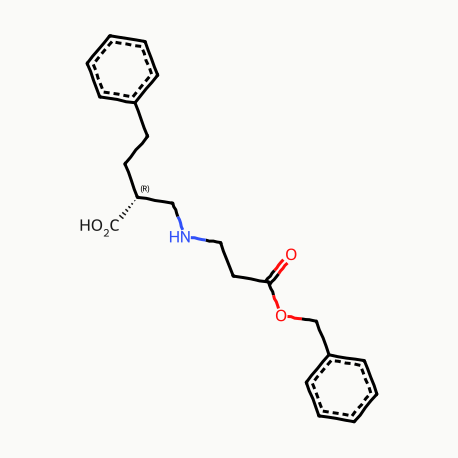 O=C(CCNC[C@@H](CCc1ccccc1)C(=O)O)OCc1ccccc1